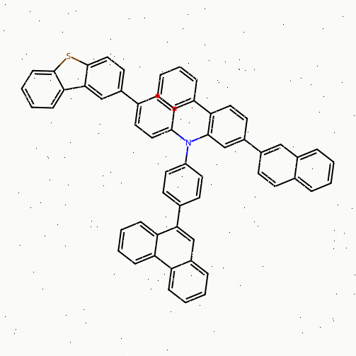 c1ccc(-c2ccc(-c3ccc4ccccc4c3)cc2N(c2ccc(-c3ccc4sc5ccccc5c4c3)cc2)c2ccc(-c3cc4ccccc4c4ccccc34)cc2)cc1